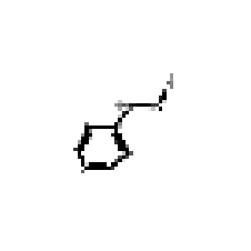 SS[AsH]c1ccccc1